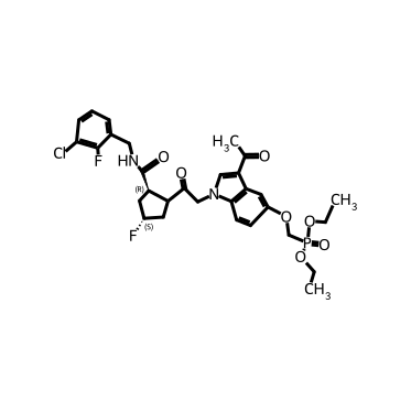 CCOP(=O)(COc1ccc2c(c1)c(C(C)=O)cn2CC(=O)C1C[C@H](F)C[C@H]1C(=O)NCc1cccc(Cl)c1F)OCC